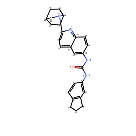 O=C(Nc1ccc2c(c1)CCC2)Nc1ccc2nc(N3CC4CCC3CC4)ccc2c1